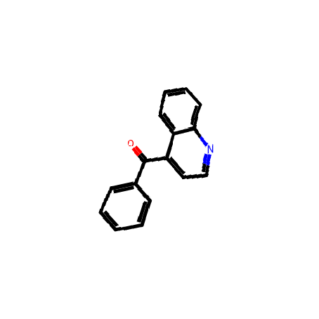 O=C(c1ccccc1)c1ccnc2ccccc12